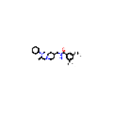 C=C(CN1CCC(CNC(=O)c2cc(C(F)(F)F)cc(C(F)(F)F)c2)CC1)N(C)C1CCCCC1